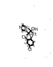 CCC(C)(O)C(C)(Oc1ccc(Cl)cc1Cl)n1cncn1